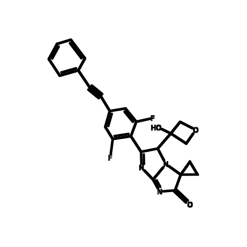 O=C1N=C2N=C(c3c(F)cc(C#Cc4ccccc4)cc3F)C(C3(O)COC3)N2C12CC2